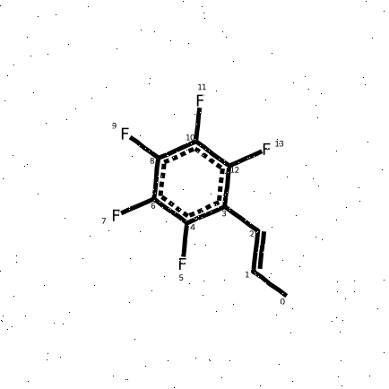 CC=Cc1c(F)c(F)c(F)c(F)c1F